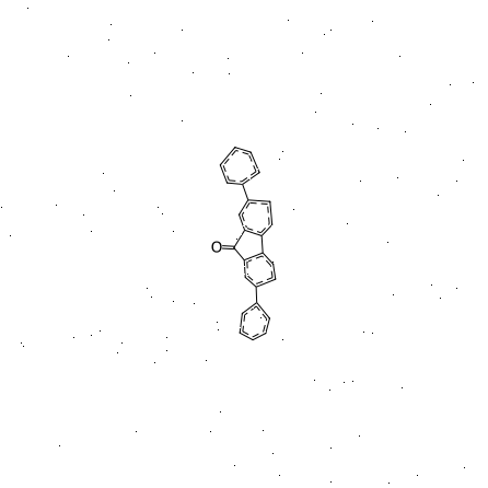 O=C1c2cc(-c3ccccc3)ccc2-c2ccc(-c3ccccc3)cc21